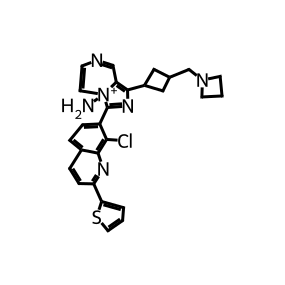 N[N+]12C=CN=CC1=C(C1CC(CN3CCC3)C1)N=C2c1ccc2ccc(-c3cccs3)nc2c1Cl